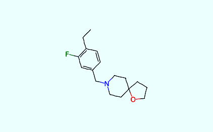 CCc1ccc(CN2CCC3(CCCO3)CC2)cc1F